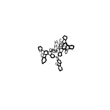 CC1(C)c2cc(N(c3ccc4c(c3)C(C)(C)c3c5c(c6c(oc7ccccc76)c3-4)-c3ccccc3C5(C)C)c3ccc4c(c3)oc3ccccc34)ccc2-c2c1cc(-c1ccccn1)c1oc3ccccc3c21